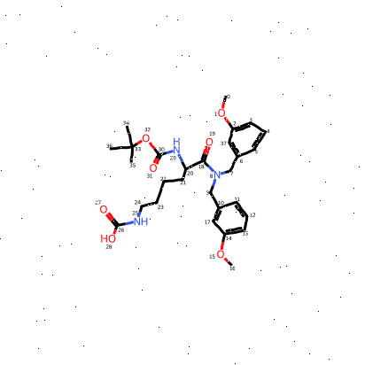 COc1cccc(CN(Cc2cccc(OC)c2)C(=O)C(CCCCNC(=O)O)NC(=O)OC(C)(C)C)c1